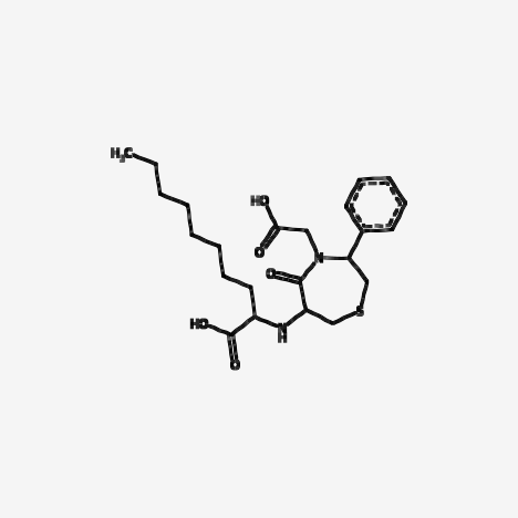 CCCCCCCCC(NC1CSCC(c2ccccc2)N(CC(=O)O)C1=O)C(=O)O